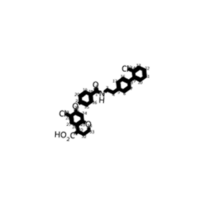 O=C(NCCc1ccc(-c2ccccc2Cl)cc1)c1ccc(Oc2cc3c(cc2Cl)C(C(=O)O)CCO3)cc1